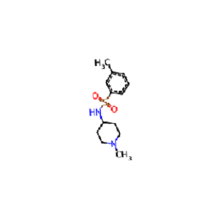 Cc1cccc(S(=O)(=O)NC2CCN(C)CC2)c1